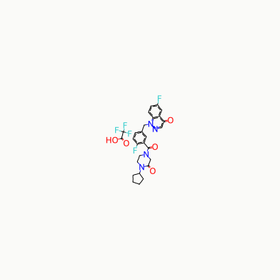 O=C(O)C(F)(F)F.O=C(c1cc(Cn2ncc(=O)c3cc(F)ccc32)ccc1F)N1CCN(C2CCCC2)C(=O)C1